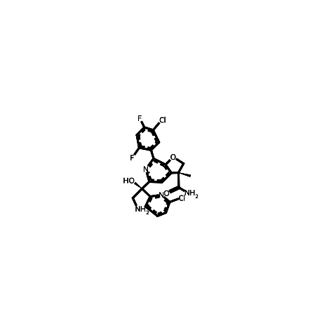 C[C@]1(C(N)=O)COc2c1cc([C@@](O)(CN)c1cccc(Cl)n1)nc2-c1cc(Cl)c(F)cc1F